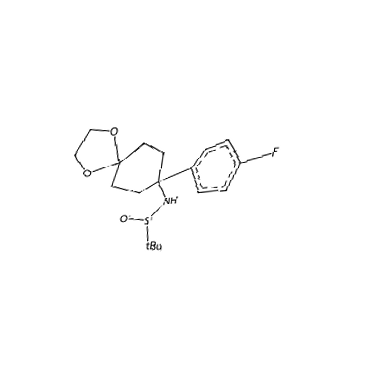 CC(C)(C)[S+]([O-])NC1(c2ccc(F)cc2)CCC2(CC1)OCCO2